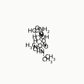 CC(C)CCNCc1cc(N(C)C)c2c(c1N=O)C(=O)C1=C(O)[C@]3(N=O)C(=O)C(C(N)=O)=C(O)C[C@@H]3C[C@@H]1C2